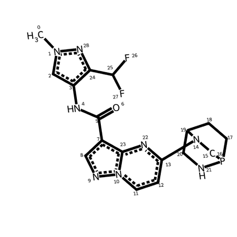 Cn1cc(NC(=O)c2cnn3ccc(N4CP5CCC4CN5)nc23)c(C(F)F)n1